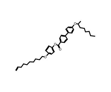 C=CCCCCCCCCOc1ccc(OC(=O)c2ccc(-c3ccc(OC(C)CCCCCC)cc3)cc2)cc1